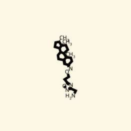 C[C@H]1CCC2C3CCC4=CC(=NOCCc5nc(CN)no5)CC[C@]4(C)C3CC[C@@]21C